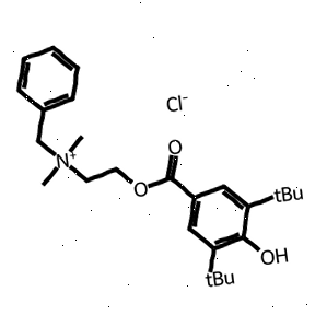 CC(C)(C)c1cc(C(=O)OCC[N+](C)(C)Cc2ccccc2)cc(C(C)(C)C)c1O.[Cl-]